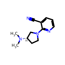 CN(C)[C@H]1CCN(c2ncccc2C#N)C1